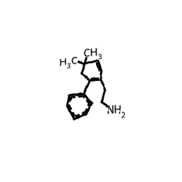 CC1(C)C=CC(CCN)=C(c2ccccc2)C1